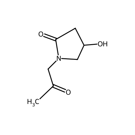 CC(=O)CN1CC(O)CC1=O